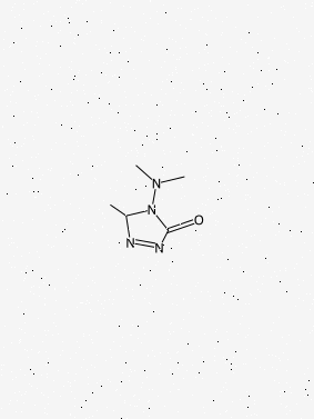 CC1N=NC(=O)N1N(C)C